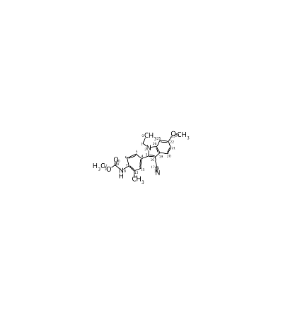 CCn1c(-c2ccc(NC(=O)OC)c(C)c2)c(C#N)c2ccc(OC)cc21